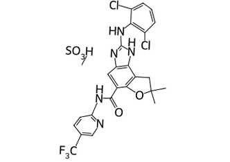 CC1(C)Cc2c(c(C(=O)Nc3ccc(C(F)(F)F)cn3)cc3nc(Nc4c(Cl)cccc4Cl)[nH]c23)O1.CS(=O)(=O)O